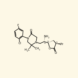 CC(C)[C@@H]1C[C@@H]([C@@H](N)CN2CC(=O)N(c3cc(F)ccc3Cl)CC2(C)C)OC1=O